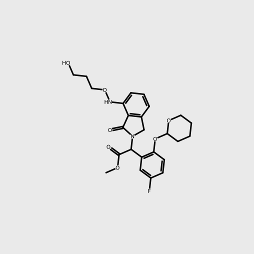 COC(=O)C(c1cc(F)ccc1OC1CCCCO1)N1Cc2cccc(NOCCCO)c2C1=O